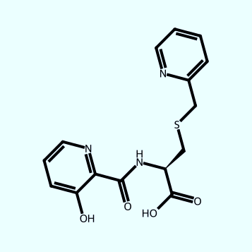 O=C(N[C@@H](CSCc1ccccn1)C(=O)O)c1ncccc1O